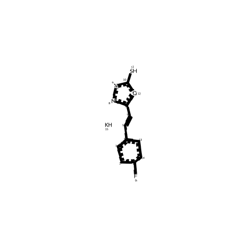 Fc1ccc(C=Cc2nnc(S)o2)cc1.[KH]